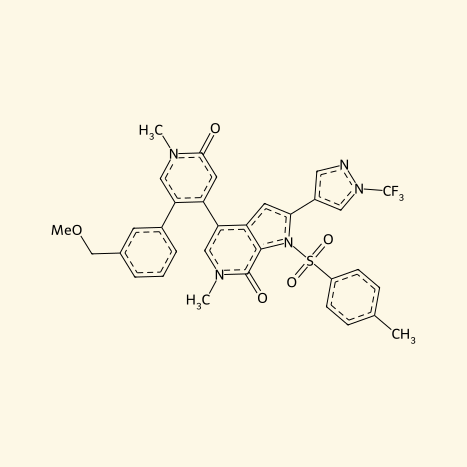 COCc1cccc(-c2cn(C)c(=O)cc2-c2cn(C)c(=O)c3c2cc(-c2cnn(C(F)(F)F)c2)n3S(=O)(=O)c2ccc(C)cc2)c1